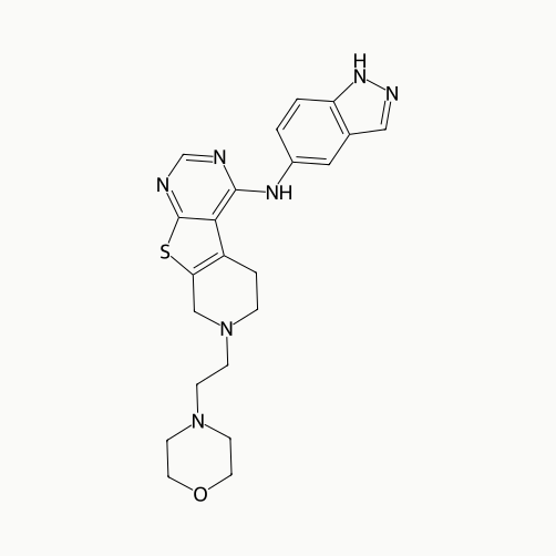 c1nc(Nc2ccc3[nH]ncc3c2)c2c3c(sc2n1)CN(CCN1CCOCC1)CC3